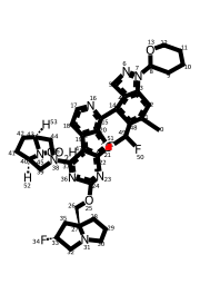 Cc1cc2c(cnn2C2CCCCO2)c(-c2nccc3c2sc2nc(OC[C@@]45CCCN4C[C@H](F)C5)nc(N4C[C@H]5CC[C@@H](C4)N5C(=O)O)c23)c1C(F)F